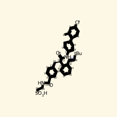 Cc1cc(Cl)ccc1-c1ccc(NC(=O)[C@H](Cc2ccc(C(=O)NCCS(=O)(=O)O)cc2)c2ccccc2/C=C/C(C)(C)C)cc1